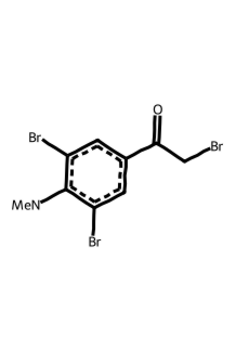 CNc1c(Br)cc(C(=O)CBr)cc1Br